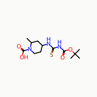 CC1CC(NC(=S)NC(=O)OC(C)(C)C)CCN1C(=O)O